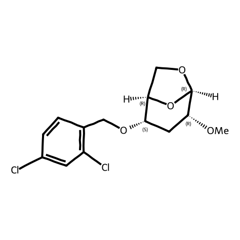 CO[C@@H]1C[C@H](OCc2ccc(Cl)cc2Cl)[C@H]2CO[C@@H]1O2